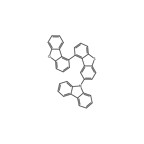 c1ccc2c(c1)oc1cccc(-c3cccc4sc5ccc(-n6c7ccccc7c7ccccc76)cc5c34)c12